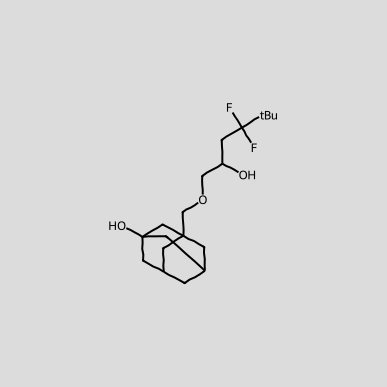 CC(C)(C)C(F)(F)CC(O)COCC12CC3CC(CC(O)(C3)C1)C2